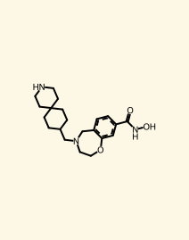 O=C(NO)c1ccc2c(c1)OCCN(CC1CCC3(CCNCC3)CC1)C2